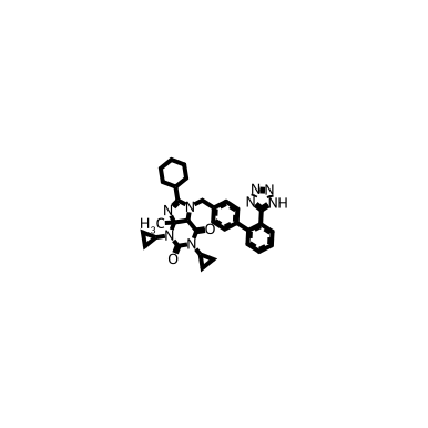 CC12N=C(C3CCCCC3)N(Cc3ccc(-c4ccccc4-c4nnn[nH]4)cc3)C1C(=O)N(C1CC1)C(=O)N2C1CC1